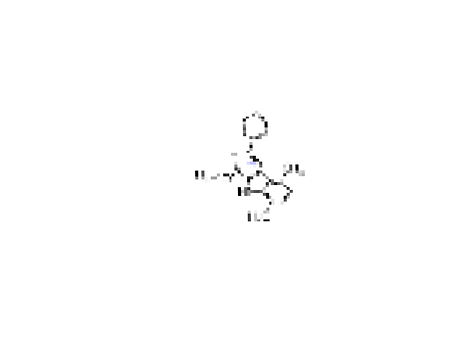 COC(=O)c1[nH]c2c(C)ccc(C)c2c1/C=N/c1ccccc1